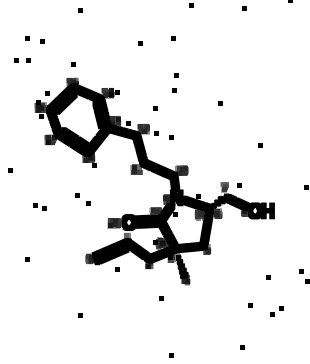 C=CC[C@]1(C)C[C@@H](CO)N(CCCc2ccccc2)C1=O